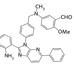 COc1ccc(N(C)Cc2ccc(-n3c(-c4cccnc4N)nc4ccc(-c5ccccc5)nc43)cc2)cc1C=O